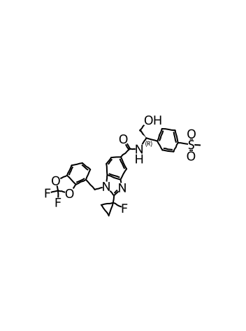 CS(=O)(=O)c1ccc([C@H](CO)NC(=O)c2ccc3c(c2)nc(C2(F)CC2)n3Cc2cccc3c2OC(F)(F)O3)cc1